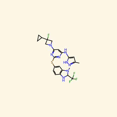 Cc1cc(Nc2cc(N3CC(F)(C4CC4)C3)nc(Sc3ccc4c(c3)N(C)C(C(F)(F)F)N4)n2)[nH]n1